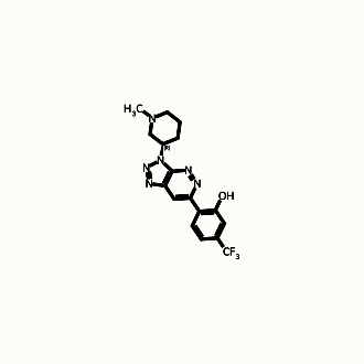 CN1CCC[C@@H](n2nnc3cc(-c4ccc(C(F)(F)F)cc4O)nnc32)C1